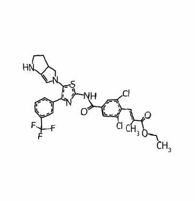 CCOC(=O)/C(C)=C/c1c(Cl)cc(C(=O)Nc2nc(-c3cccc(C(F)(F)F)c3)c(N3C=C4NCCC4C3)s2)cc1Cl